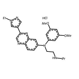 CCn1cc(-c2cnc3ccc(N(CCNC(C)C)c4cc(OC)cc(OC)c4)cc3n2)cn1.Cl